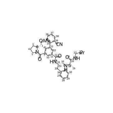 COC[C@H]1CCCN1C(=O)c1cc(C(=O)N[C@H](CN[C@@H](C)C(=O)NCC(C)C)Cc2ccccc2)cc(-c2ccccc2C#N)c1